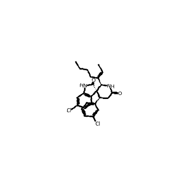 C/C=C(\CCCC)[C@H]1NC(=O)C[C@@H](c2cccc(Cl)c2)[C@]12C(=O)Nc1cc(Cl)ccc12